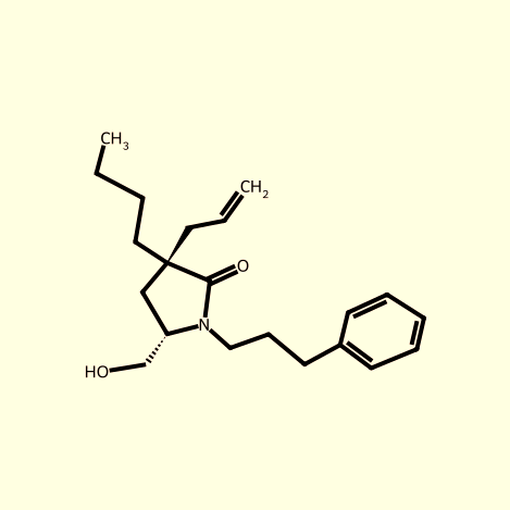 C=CC[C@]1(CCCC)C[C@@H](CO)N(CCCc2ccccc2)C1=O